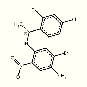 Cc1cc([N+](=O)[O-])c(N[C@H](C)c2ccc(Cl)cc2Cl)cc1Br